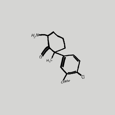 COc1cc(C2(C)CCCC(N)C2=O)ccc1Cl